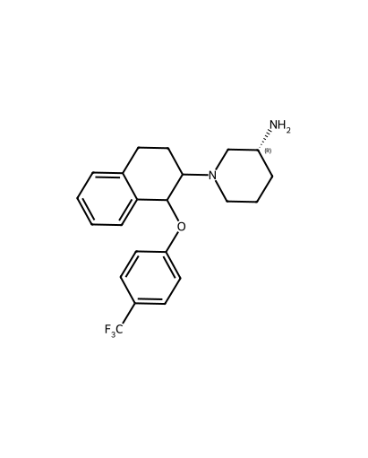 N[C@@H]1CCCN(C2CCc3ccccc3C2Oc2ccc(C(F)(F)F)cc2)C1